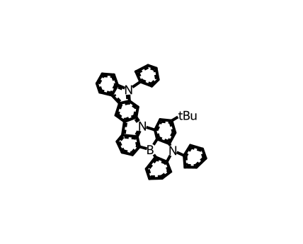 CC(C)(C)c1cc2c3c(c1)-n1c4cc5c(cc4c4cccc(c41)B3c1ccccc1N2c1ccccc1)c1ccccc1n5-c1ccccc1